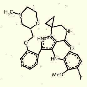 COc1c(F)cccc1Nc1c(-c2ccncc2OCC2CN(C)CCO2)[nH]c2c1C(=O)NCC21CC1